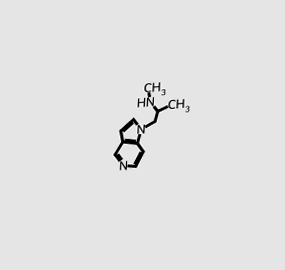 CNC(C)Cn1ccc2cnccc21